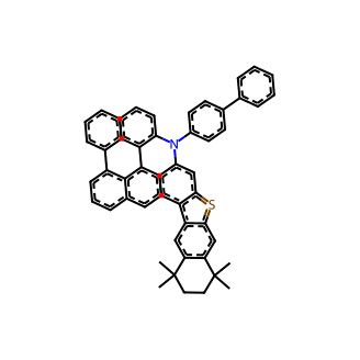 CC1(C)CCC(C)(C)c2cc3c(cc21)sc1cc(N(c2ccc(-c4ccccc4)cc2)c2ccccc2-c2cccc4cccc(-c5ccccc5)c24)ccc13